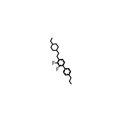 CCCc1ccc(-c2ccc(CCC3CCC(CC)CC3)c(F)c2F)cc1